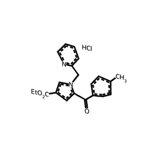 CCOC(=O)c1cc(C(=O)c2ccc(C)cc2)n(Cc2ccccn2)c1.Cl